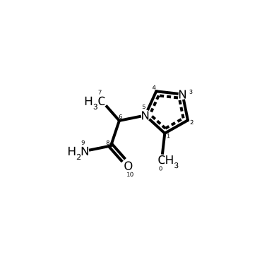 Cc1cncn1C(C)C(N)=O